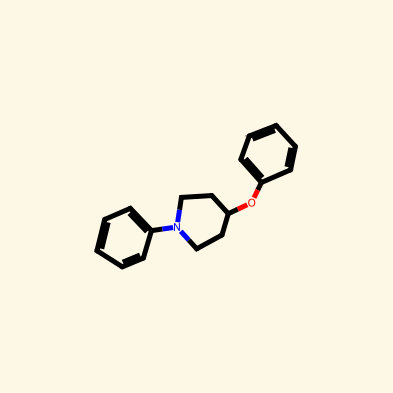 [c]1cccc(OC2CCN(c3ccccc3)CC2)c1